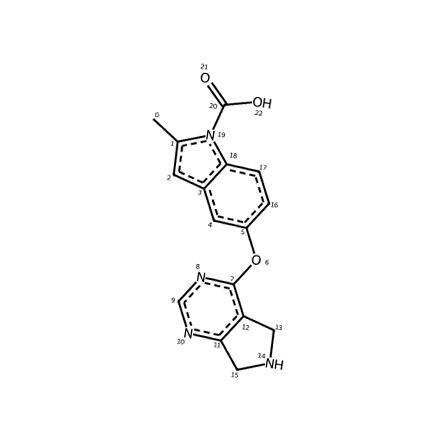 Cc1cc2cc(Oc3ncnc4c3CNC4)ccc2n1C(=O)O